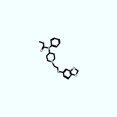 CCC(=O)N(c1ccccc1)C1CCN(CCSc2ccc3c(c2)OCO3)CC1